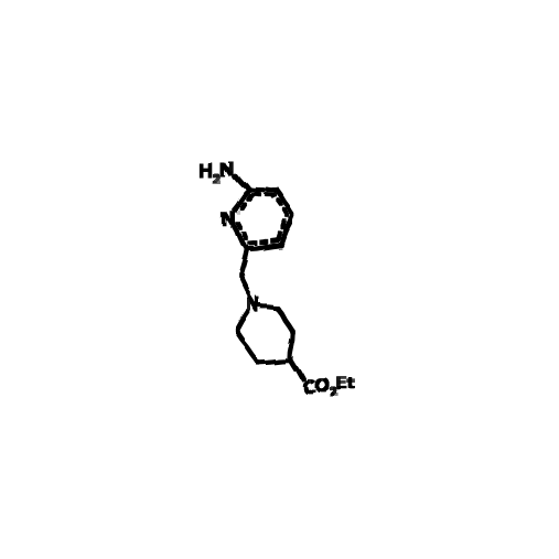 CCOC(=O)C1CCN(Cc2cccc(N)n2)CC1